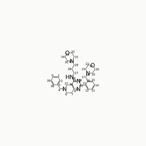 c1ccc(CN2CCc3nc(-c4ccccc4CN4CCOCC4)nc(NCCCN4CCOCC4)c3C2)cc1